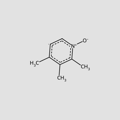 Cc1[c]c[n+]([O-])c(C)c1C